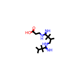 CC(C)C(C)(C)C(=N)NCC(C)C(C)(C)C(=N)NCCC(=O)O